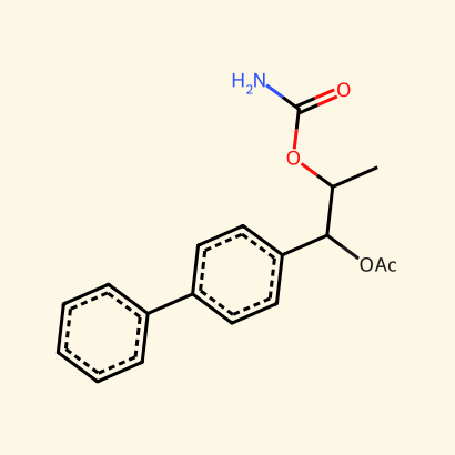 CC(=O)OC(c1ccc(-c2ccccc2)cc1)C(C)OC(N)=O